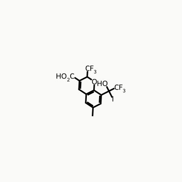 Cc1cc2c(c(C(O)(I)C(F)(F)F)c1)OC(C(F)(F)F)C(C(=O)O)=C2